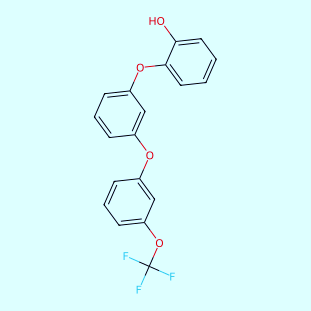 Oc1ccccc1Oc1cccc(Oc2cccc(OC(F)(F)F)c2)c1